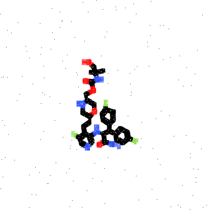 CC(C)(CO)NC(=O)OC[C@@H]1CO[C@H](CCc2c(F)cncc2N[C@H](C(N)=O)C(c2ccc(F)cc2)c2ccc(F)cc2)CN1